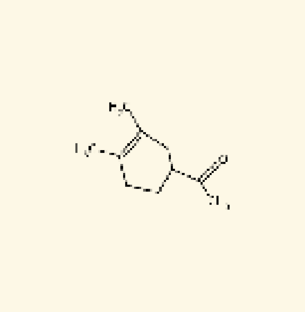 CC(=O)C1CCC(C)=C(C)C1